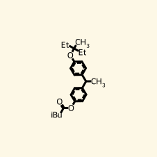 CCC(C)C(=O)Oc1ccc(C(C)c2ccc(OC(C)(CC)CC)cc2)cc1